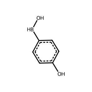 OBc1ccc(O)cc1